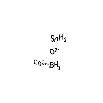 B.[Co+2].[O-2].[SnH2]